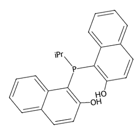 CC(C)P(c1c(O)ccc2ccccc12)c1c(O)ccc2ccccc12